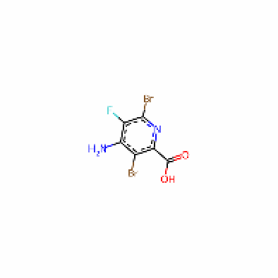 Nc1c(F)c(Br)nc(C(=O)O)c1Br